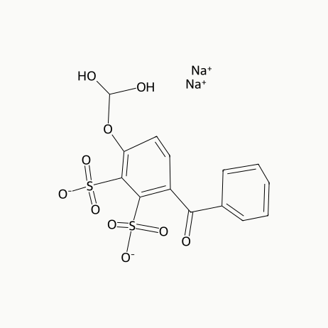 O=C(c1ccccc1)c1ccc(OC(O)O)c(S(=O)(=O)[O-])c1S(=O)(=O)[O-].[Na+].[Na+]